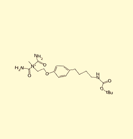 CC(C)(C)OC(=O)NCCCCc1ccc(OCC[N+](C)(C(N)=O)C(N)=O)cc1